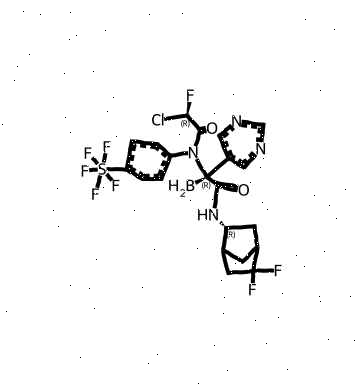 B[C@](C(=O)N[C@@H]1CC2CC1CC2(F)F)(c1cncnc1)N(C(=O)[C@H](F)Cl)c1ccc(S(F)(F)(F)(F)F)cc1